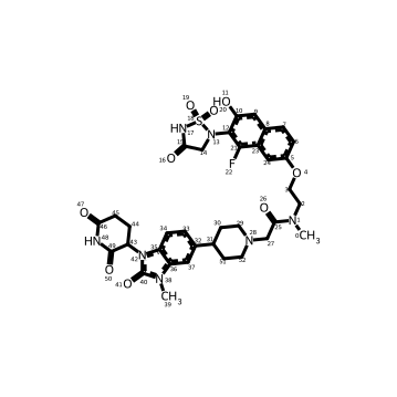 CN(CCOc1ccc2cc(O)c(N3CC(=O)NS3(=O)=O)c(F)c2c1)C(=O)CN1CCC(c2ccc3c(c2)n(C)c(=O)n3C2CCC(=O)NC2=O)CC1